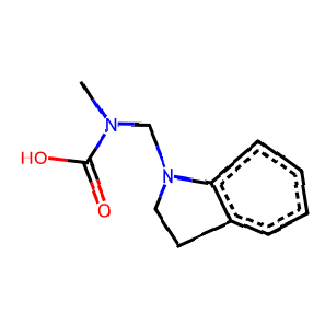 CN(CN1CCc2ccccc21)C(=O)O